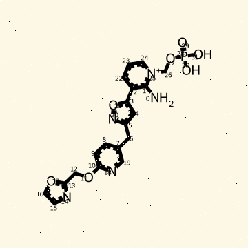 Nc1c(-c2cc(Cc3ccc(OCc4ncco4)nc3)no2)ccc[n+]1COP(=O)(O)O